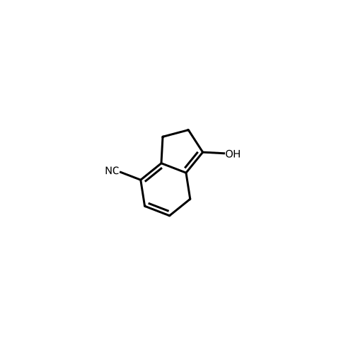 N#CC1=C2CCC(O)=C2CC=C1